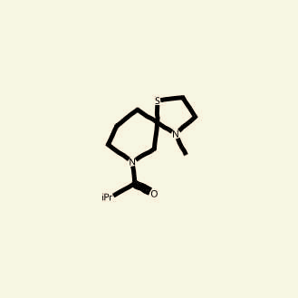 CC(C)C(=O)N1CCCC2(C1)SCCN2C